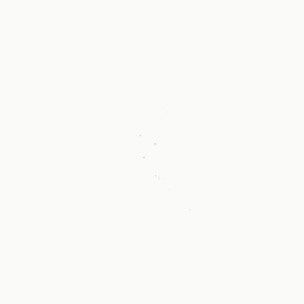 CC(C)(C)OC(=O)N1CCCC(O)(C[C@@H](CO)c2ccccc2)C1c1ccccc1